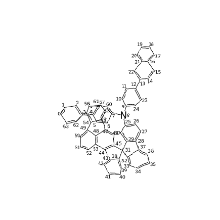 c1ccc(-c2ccc(N(c3ccc(-c4ccc5ccccc5c4)cc3)c3ccc4c(c3)C3(c5ccccc5-4)c4ccccc4-c4c3cc3c5c(cccc45)-c4ccccc4-3)cc2)cc1